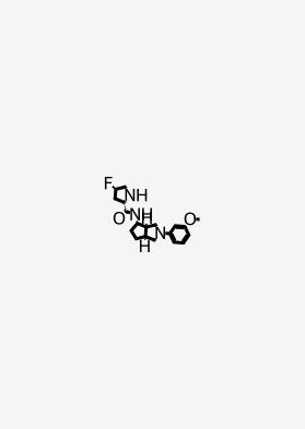 COc1cccc(N2C[C@H]3CC[C@H](NC(=O)[C@@H]4C[C@@H](F)CN4)[C@H]3C2)c1